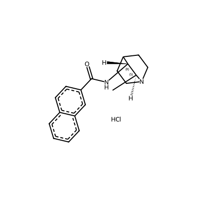 C[C@H]1[C@H](NC(=O)c2ccc3ccccc3c2)C2CCN1CC2.Cl